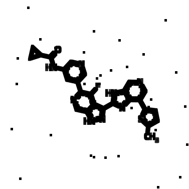 Cc1ccc(-c2cncc3[nH]c(-c4n[nH]c5cnc(-c6cncc(NC(=O)C7CC7)c6)c(F)c45)nc23)s1